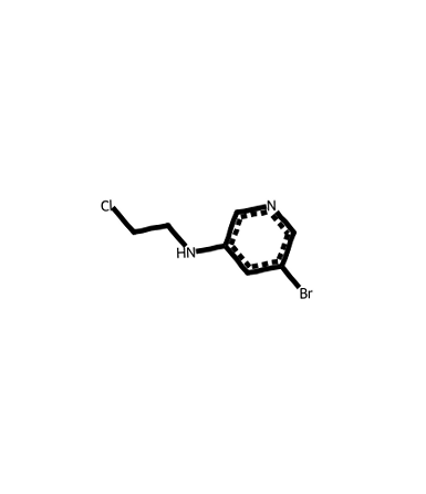 ClCCNc1cncc(Br)c1